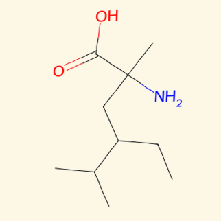 CCC(CC(C)(N)C(=O)O)C(C)C